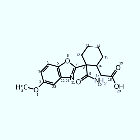 COc1ccc2oc(C3(C(N)=O)CCCCC3CC(=O)O)nc2c1